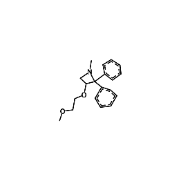 COCCOC1CN(C)C1(c1ccccc1)c1ccccc1